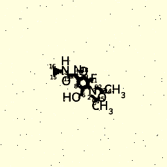 C[C@@H]1CN(c2c(CO)cc3c(C(=O)NC4CC4)noc3c2F)C[C@H](C)O1